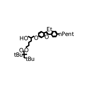 CCCCCc1ccc(-c2cc3ccc(OCC(CO)CCCCOC(=O)C(C)(CC(C)(C)C)C(C)(C)C)cc3o2)c(CC)c1